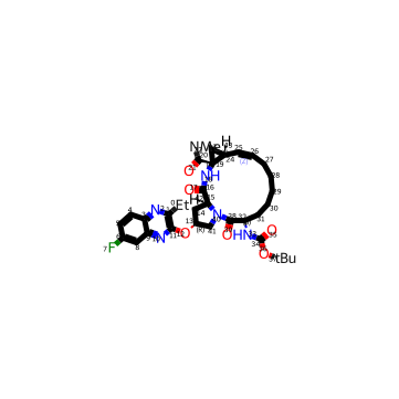 CCc1nc2ccc(F)cc2nc1O[C@@H]1C[C@H]2C(=O)N[C@]3(C(=O)NC)C[C@H]3/C=C\CCCCC[C@H](NC(=O)OC(C)(C)C)C(=O)N2C1